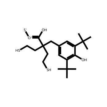 CC(C)(C)c1cc(CC(CCS)(CCS)C(O)=[O+][S-])cc(C(C)(C)C)c1O